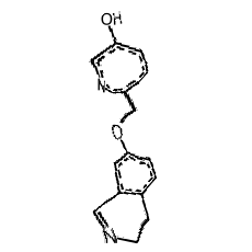 Oc1ccc(COc2ccc3c(c2)C=NCC3)nc1